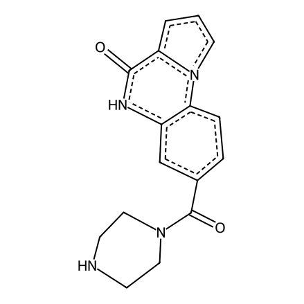 O=C(c1ccc2c(c1)[nH]c(=O)c1cccn12)N1CCNCC1